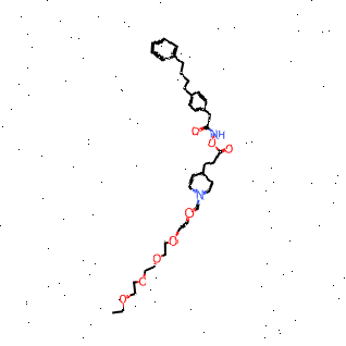 CCOCCOCCOCCOCCOCN1CCC(CCC(=O)ONC(=O)Cc2ccc(CCCCc3ccccc3)cc2)CC1